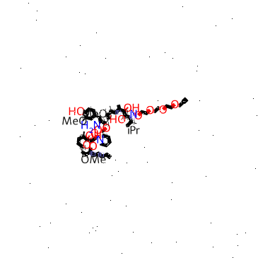 C#CCOCCOCCOCCO/N=C(\[C@H](C)CC(C)C)[C@H](O)[C@H](O)/C(C)=C/[C@@H](C)[C@@H](C[C@H](OC(=O)[C@@H]1CCCCN1C(=O)C(=O)[C@]1(O)O[C@H](C[C@H](OC)/C(C)=C/C=C/C=C)CC[C@H]1C)[C@H](N)C[C@@H]1CC[C@@H](O)[C@H](OC)C1)OC